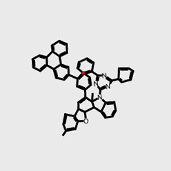 Cc1ccc2c(c1)OC1C2C=C(c2cccc(-c3ccc4c5ccccc5c5ccccc5c4c3)c2)C2(C)C1c1ccccc1N2c1nc(-c2ccccc2)nc(-c2ccccc2)n1